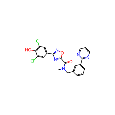 CN(Cc1cccc(-c2ncccn2)c1)C(=O)c1nc(-c2cc(Cl)c(O)c(Cl)c2)no1